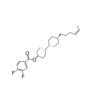 C/C=C\CCC[C@H]1CC[C@H]([C@H]2CC[C@H](OC(=O)c3ccc(F)c(F)c3)CC2)CC1